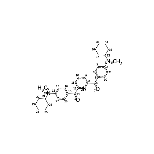 CN(c1ccc(C(=O)c2cccc(C(=O)c3ccc(N(C)C4CCCCC4)cc3)n2)cc1)C1CCCCC1